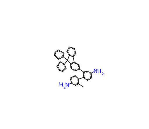 Cc1cc(N)ccc1-c1ccc(N)cc1-c1ccc2c(c1)-c1ccccc1C2(c1ccccc1)c1ccccc1